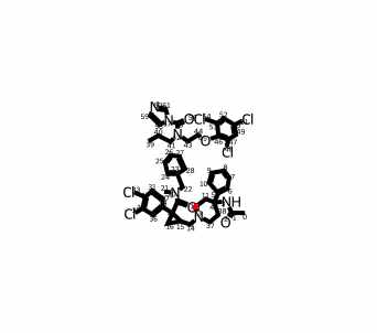 CC(=O)NC1(c2ccccc2)CCN(CC2CC2(C(=O)N(C)Cc2ccccc2)c2ccc(Cl)c(Cl)c2)CC1.CCCN(CCOc1c(Cl)cc(Cl)cc1Cl)C(=O)n1ccnc1